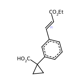 CCOC(=O)/C=C/c1cccc(C2(C(=O)O)CC2)c1